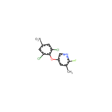 Cc1cc(Oc2c(Cl)cc([N+](=O)[O-])cc2Cl)cnc1F